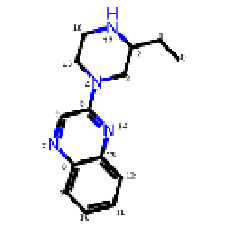 CCC1CN(c2cnc3ccccc3n2)CCN1